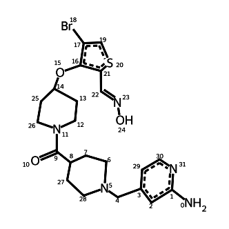 Nc1cc(CN2CCC(C(=O)N3CCC(Oc4c(Br)csc4/C=N/O)CC3)CC2)ccn1